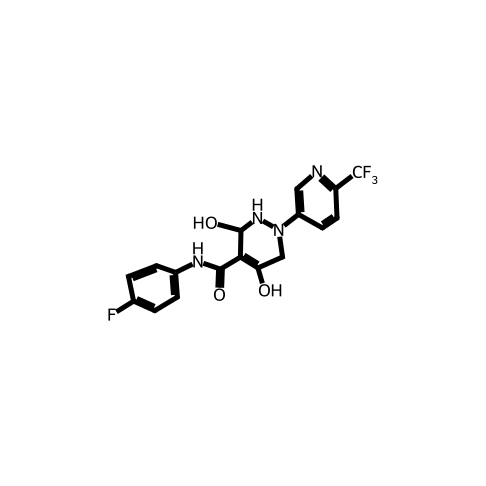 O=C(Nc1ccc(F)cc1)C1=C(O)CN(c2ccc(C(F)(F)F)nc2)NC1O